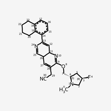 CN1C[C@H](F)C[C@H]1COC1=NC2C=C(c3cccc4c3CCCC4)N=CC2C=C1CC#N